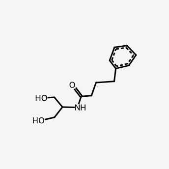 O=C(CCCc1ccccc1)NC(CO)CO